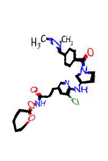 CN(C)CC1CCC(C(=O)N2CC[C@@H](Nc3ncc(/C=C/C(=O)NOC4CCCCO4)cc3Cl)C2)CC1